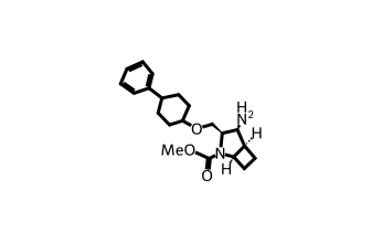 COC(=O)N1[C@@H]2CC[C@@H]2[C@H](N)[C@@H]1COC1CCC(c2ccccc2)CC1